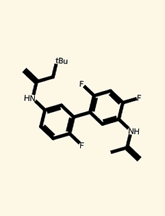 C=C(C)Nc1cc(-c2cc(NC(=C)CC(C)(C)C)ccc2F)c(F)cc1F